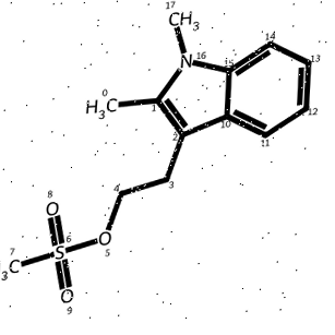 Cc1c(CCOS(C)(=O)=O)c2ccccc2n1C